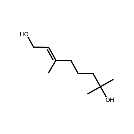 C/C(=C\CO)CCCC(C)(C)O